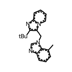 Cc1cccc2ncn(Cc3c(C(C)(C)C)nc4ccccn34)c12